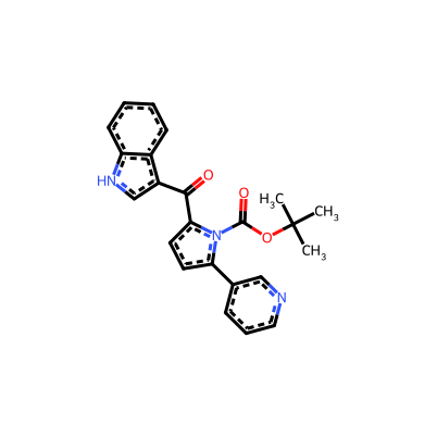 CC(C)(C)OC(=O)n1c(C(=O)c2c[nH]c3ccccc23)ccc1-c1cccnc1